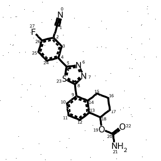 N#Cc1cc(-c2nnc(-c3cccc4c3CCCC4OC(N)=O)s2)ccc1F